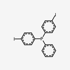 Ic1ccc(P(c2ccccc2)c2ccc(I)cc2)cc1